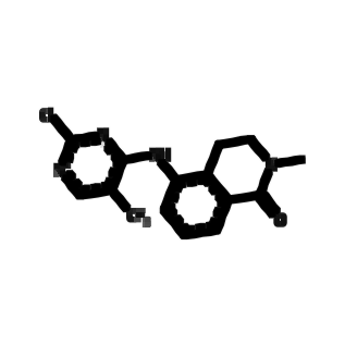 CN1CCc2c(Nc3nc(Cl)ncc3C(F)(F)F)cccc2C1=O